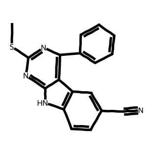 CSc1nc(-c2ccccc2)c2c(n1)[nH]c1ccc(C#N)cc12